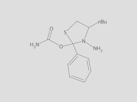 CCCCC1CSC(OC(N)=O)(c2ccccc2)N1N